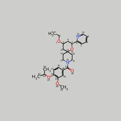 CCOC1CC(c2ccccn2)OC2(CCN(C(=O)c3ccc(OC(C)C)c(OC)c3)CC2)C1